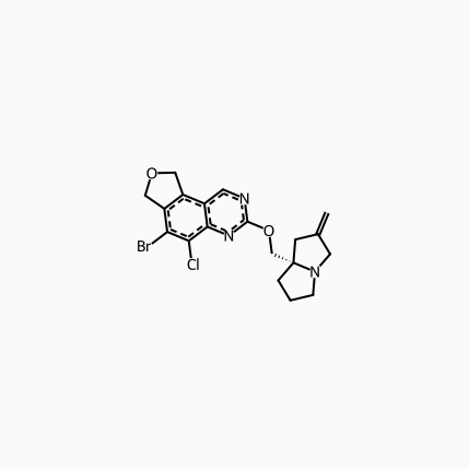 C=C1CN2CCC[C@@]2(COc2ncc3c4c(c(Br)c(Cl)c3n2)COC4)C1